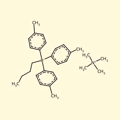 CCCC[B-](c1ccc(C)cc1)(c1ccc(C)cc1)c1ccc(C)cc1.C[N+](C)(C)C